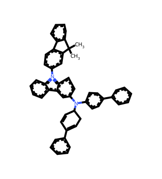 CC1(C)c2ccccc2-c2ccc(-n3c4ccccc4c4cc(N(c5ccc(-c6ccccc6)cc5)C5C=CC(c6ccccc6)=CC5)ccc43)cc21